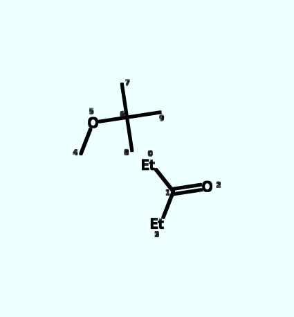 CCC(=O)CC.COC(C)(C)C